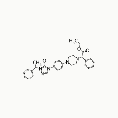 CCOC(=O)[C@@H](c1ccccc1)N1CCN(c2ccc(-n3cnn([C@H](C)c4ccccc4)c3=O)cc2)CC1